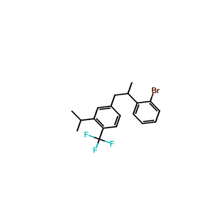 CC(C)c1cc(CC(C)c2ccccc2Br)ccc1C(F)(F)F